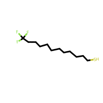 FC(F)(F)CCCCCCCCCCCS